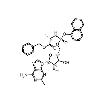 Cc1nc(N)c2ncn([C@@H]3O[C@H](COP(=O)(N[C@@H](C)C(=O)OCc4ccccc4)Oc4cccc5ccccc45)C(O)[C@H]3O)c2n1